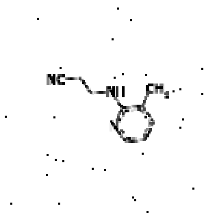 Cc1cccnc1NCCC#N